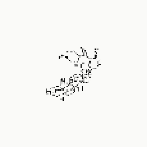 C[C@]12CCCC[C@@H]1CC[C@@H]1[C@@H]2CC[C@]2(C)[C@@H](c3coc(=O)c(NC4CCNC[C@H]4F)c3)CC[C@]12O